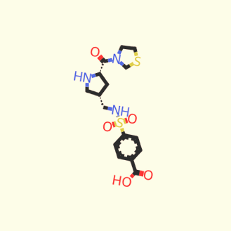 O=C(O)c1ccc(S(=O)(=O)NC[C@@H]2CN[C@H](C(=O)N3CCSC3)C2)cc1